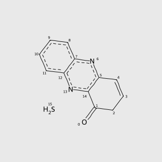 O=C1CC=Cc2nc3ccccc3nc21.S